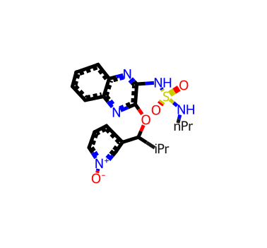 CCCNS(=O)(=O)Nc1nc2ccccc2nc1OC(c1ccc[n+]([O-])c1)C(C)C